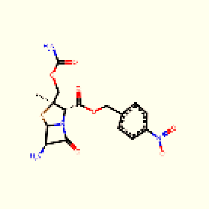 C[C@@]1(COC(N)=O)SC2[C@H](N)C(=O)N2[C@H]1C(=O)OCc1ccc([N+](=O)[O-])cc1